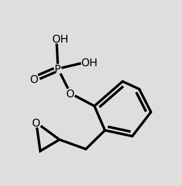 O=P(O)(O)Oc1ccccc1CC1CO1